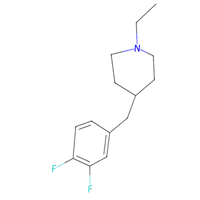 CCN1CCC(Cc2ccc(F)c(F)c2)CC1